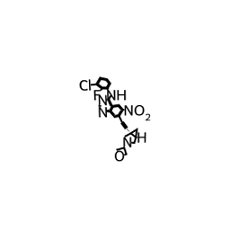 O=[N+]([O-])c1cc2c(Nc3cccc(Cl)c3F)ncnc2cc1C#C[C@]12C[C@H]1CN(C1COC1)C2